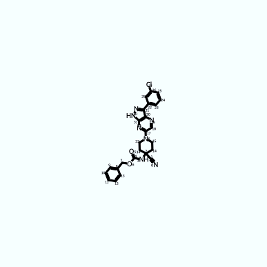 N#CC1(NC(=O)OCc2ccccc2)CCN(c2cnc3c(-c4cccc(Cl)c4)n[nH]c3n2)CC1